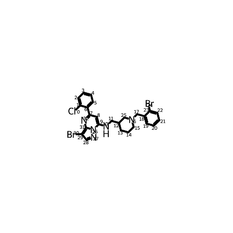 Clc1ccccc1-c1cc(NCC2CCCN(Cc3ccccc3Br)C2)n2ncc(Br)c2n1